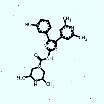 Cc1cc(-c2sc(NC(=O)N3CC(C)NC(C)C3)nc2-c2cccc(C#N)c2)cc(C)n1